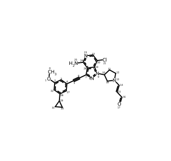 COc1cc(C#Cc2nn(C3CCN(C=CC=O)C3)c3c(Cl)cnc(N)c23)cc(C2CC2)c1